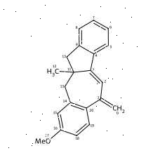 C=C1C=C2c3ccccc3CC2(C)Cc2cc(OC)ccc21